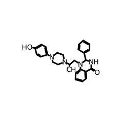 CC(CN1c2ccccc2C(=O)NC1c1ccccc1)N1CCN(c2ccc(O)cc2)CC1